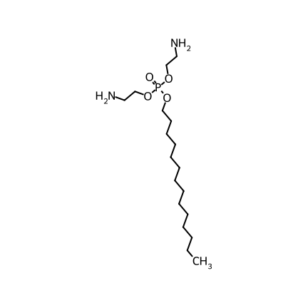 CCCCCCCCCCCCCCOP(=O)(OCCN)OCCN